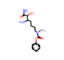 CN(CCCCC(N)C(O)C(N)=O)C(=O)Oc1ccccc1